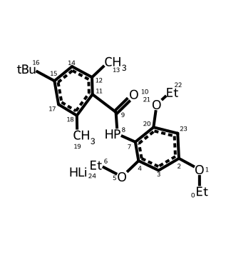 CCOc1cc(OCC)c(PC(=O)c2c(C)cc(C(C)(C)C)cc2C)c(OCC)c1.[LiH]